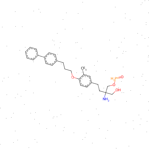 NC(CO)(CCc1ccc(OCCCc2ccc(-c3ccccc3)cc2)c(C(F)(F)F)c1)CO[PH2]=O